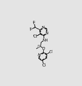 C[C@@H](CNc1ncnc(C(F)F)c1Cl)Oc1ncc(Cl)cc1Cl